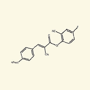 CCCCCc1ccc(/C=C(\C#N)C(=O)Oc2ccc(F)cc2C#N)cc1